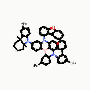 Cc1cc2c3c(c1)N(c1cccc4oc5ccccc5c14)c1cc(N4c5ccc(C(C)(C)C)cc5C5(C)CCCCC45C)ccc1B3c1cc(C(C)(C)C)ccc1N2c1ccc(C(C)(C)C)cc1-c1ccccc1